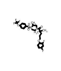 CC1CN(C(=O)C(C)(C)CCCOc2ccc(F)cc2F)CCN1S(=O)(=O)c1ccc(OC(F)(F)F)cc1